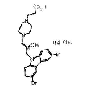 Cl.Cl.O=C(O)CCN1CCN(C[C@@H](O)Cn2c3ccc(Br)cc3c3cc(Br)ccc32)CC1